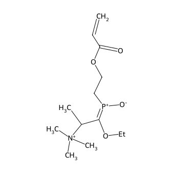 C=CC(=O)OCC[P+]([O-])=C(OCC)C(C)[N+](C)(C)C